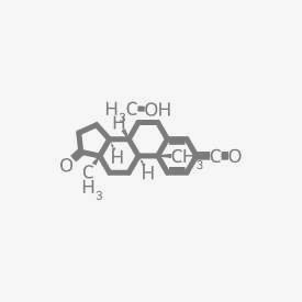 CO.C[C@]12C=CC(=C=O)C=C1CC[C@@H]1[C@@H]2CC[C@]2(C)C(=O)CC[C@@H]12